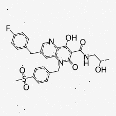 CC(O)CNC(=O)c1c(O)c2ncc(Cc3ccc(F)cc3)cc2n(Cc2ccc(S(C)(=O)=O)cc2)c1=O